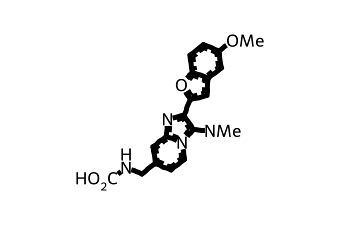 CNc1c(-c2cc3cc(OC)ccc3o2)nc2cc(CNC(=O)O)ccn12